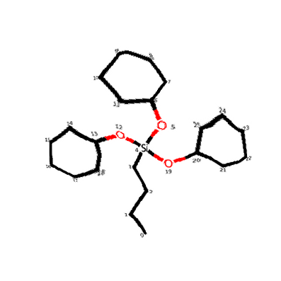 CCCC[Si](OC1CCCCC1)(OC1CCCCC1)OC1CCCCC1